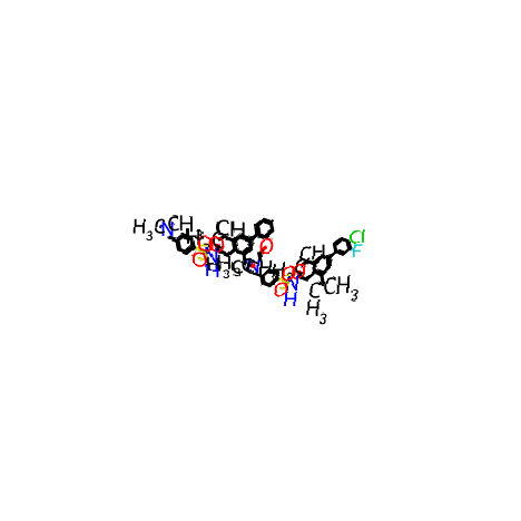 CC(C)c1cc(-c2ccc(Cl)c(F)c2)cc(C(C)C)c1CC(=O)NS(=O)(=O)c1ccc(CN(C)CCOc2ccccc2-c2cc(C(C)C)c(CC(=O)NS(=O)(=O)c3ccc(CN(C)C)cc3)c(C(C)C)c2)cc1